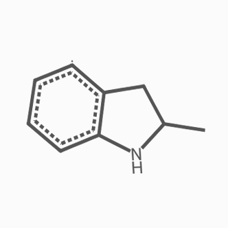 CC1Cc2[c]cccc2N1